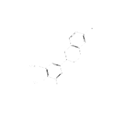 COc1cc(C2COc3cc(O)ccc3C2)cc(O)c1OC